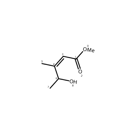 COC(=O)C=C(C)C(C)O